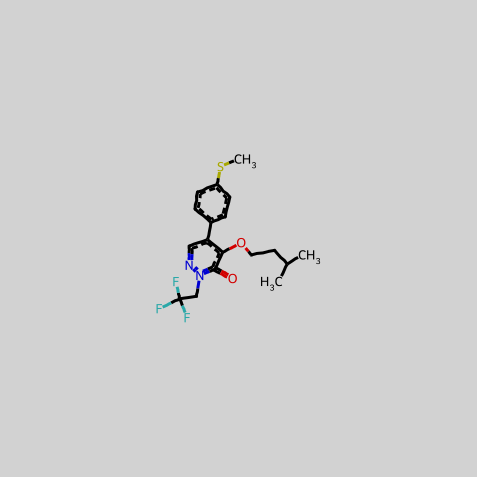 CSc1ccc(-c2cnn(CC(F)(F)F)c(=O)c2OCCC(C)C)cc1